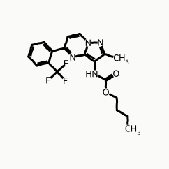 CCCCOC(=O)Nc1c(C)nn2ccc(-c3ccccc3C(F)(F)F)nc12